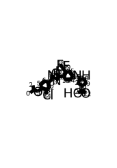 CC(C)Oc1ccc(-c2noc(-c3ccc(N[C@H]4CC[C@@H](C(=O)O)C4)cc3C(F)(F)F)n2)cc1Cl